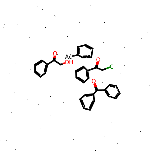 CC(=O)c1ccccc1.O=C(CCl)c1ccccc1.O=C(CO)c1ccccc1.O=C(c1ccccc1)c1ccccc1